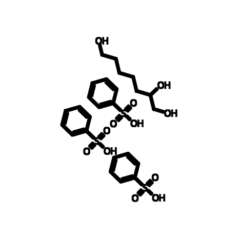 O=S(=O)(O)c1ccccc1.O=S(=O)(O)c1ccccc1.O=S(=O)(O)c1ccccc1.OCCCCCC(O)CO